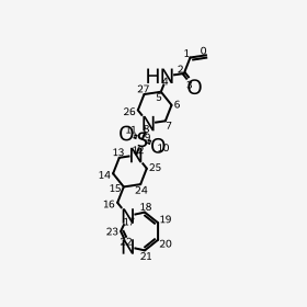 C=CC(=O)NC1CCN(S(=O)(=O)N2CCC(CN3C=CC=CN=C3)CC2)CC1